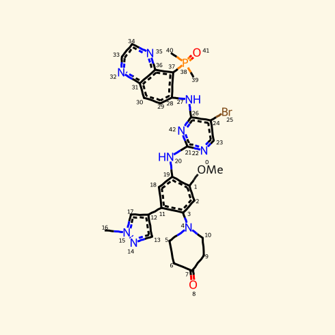 COc1cc(N2CCC(=O)CC2)c(-c2cnn(C)c2)cc1Nc1ncc(Br)c(Nc2ccc3nccnc3c2P(C)(C)=O)n1